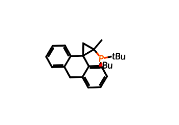 CC(C)(C)P(C(C)(C)C)C1(C)CC12c1ccccc1Cc1ccccc12